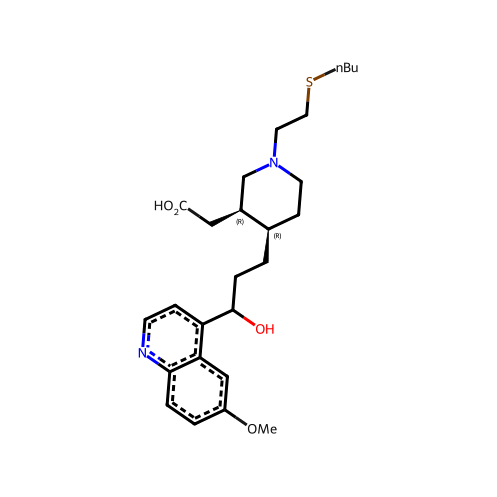 CCCCSCCN1CC[C@@H](CCC(O)c2ccnc3ccc(OC)cc23)[C@@H](CC(=O)O)C1